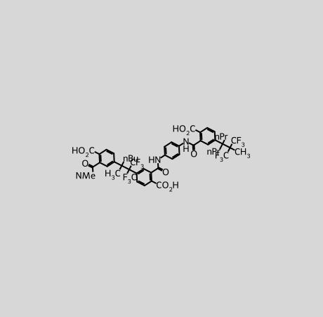 CCCCC(C)(c1ccc(C(=O)O)c(C(=O)NC)c1)C(c1ccc(C(=O)O)c(C(=O)Nc2ccc(NC(=O)c3cc(C(CCC)(CCC)C(C)(C(F)(F)F)C(F)(F)F)ccc3C(=O)O)cc2)c1)(C(F)(F)F)C(F)(F)F